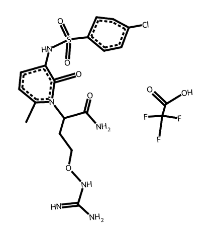 Cc1ccc(NS(=O)(=O)c2ccc(Cl)cc2)c(=O)n1C(CCONC(=N)N)C(N)=O.O=C(O)C(F)(F)F